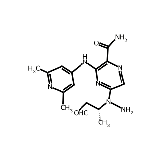 Cc1cc(Nc2nc(N(N)[C@H](C)CC=O)cnc2C(N)=O)cc(C)n1